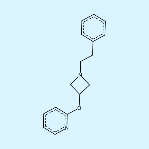 c1ccc(CCN2CC(Oc3ccccn3)C2)cc1